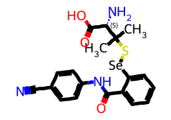 CC(C)(S[Se]c1ccccc1C(=O)Nc1ccc(C#N)cc1)[C@@H](N)C(=O)O